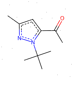 CC(=O)c1cc(C)nn1C(C)(C)C